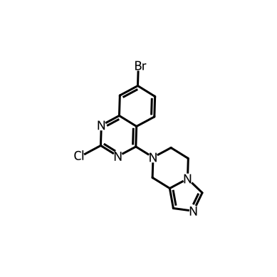 Clc1nc(N2CCn3cncc3C2)c2ccc(Br)cc2n1